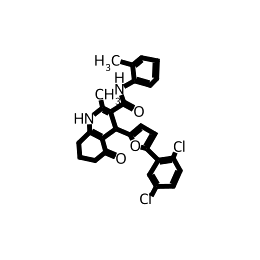 CC1=C(C(=O)Nc2ccccc2C)C(c2ccc(-c3cc(Cl)ccc3Cl)o2)C2=C(CCCC2=O)N1